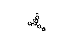 CCn1c(-c2ccccn2)nc(-c2ccc(C3=NN=CC3)cc2)c1Sc1ccc(Cl)cn1